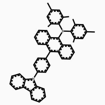 Cc1cc(C)c(B(c2c(C)cc(C)cc2C)c2c3ccccc3c(-c3ccc(-n4c5ccccc5c5ccccc54)cc3)c3ccccc23)c(C)c1